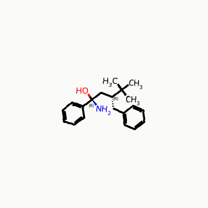 CC(C)(C)[C@H](Cc1ccccc1)C[C@@](N)(O)c1ccccc1